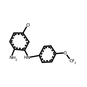 Nc1ccc(Cl)cc1Nc1ccc(OC(F)(F)F)cc1